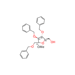 CO[C@@]1(COCc2ccccc2)O[C@H](CO)[C@@H](OCc2ccccc2)[C@@H]1OCc1ccccc1